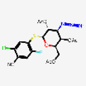 CC(=O)OC[C@H]1O[C@H](Sc2cc(Cl)c(C#N)cc2F)[C@H](OC(C)=O)[C@@H](N=[N+]=[N-])[C@H]1OC(C)=O